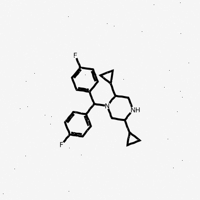 Fc1ccc(C(c2ccc(F)cc2)N2CC(C3CC3)NCC2C2CC2)cc1